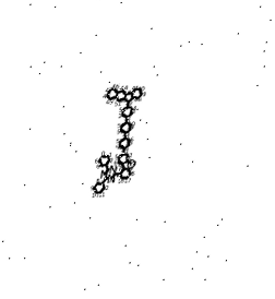 c1ccc(-c2nc(-c3ccccc3)nc(-c3cccc4oc5cc(-c6ccc(-c7ccc(-c8ccc(C9c%10ccccc%10-c%10cc%11ccccc%11cc%109)cc8)cc7)cc6)ccc5c34)n2)cc1